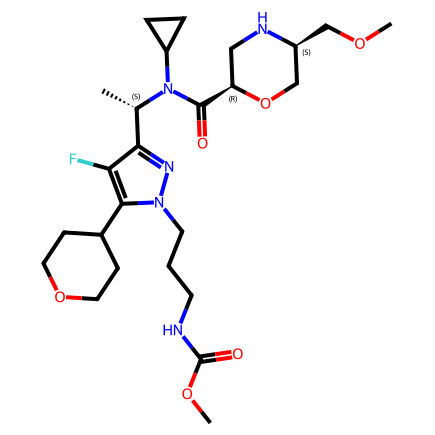 COC[C@H]1CO[C@@H](C(=O)N(C2CC2)[C@@H](C)c2nn(CCCNC(=O)OC)c(C3CCOCC3)c2F)CN1